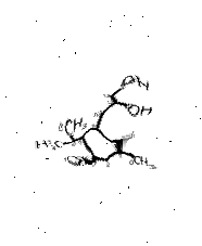 CC1CC(=O)C(C(C)C)C(CC(O)CO)C1